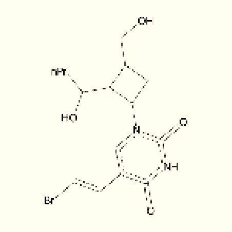 CCCC(O)C1C(CO)CC1n1cc(C=CBr)c(=O)[nH]c1=O